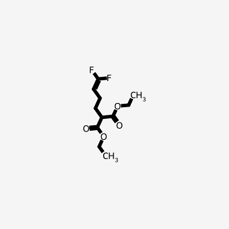 CCOC(=O)C(CCC=C(F)F)C(=O)OCC